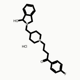 Cl.O=C(CCCN1CCC(CN2Cc3ccccc3C2O)CC1)c1ccc(F)cc1